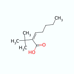 CCCCC=C(C(=O)O)C(C)(C)C